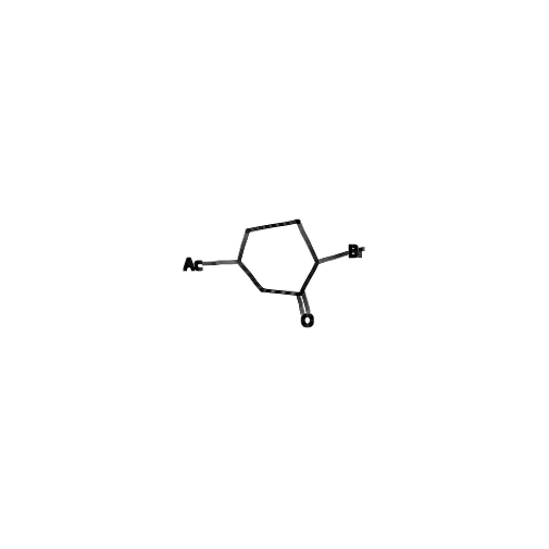 CC(=O)C1CCC(Br)C(=O)C1